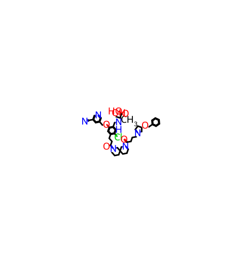 CC(CO)(NCc1cc(Cl)c(CCC(=O)N2CCCC3(CCCN(C(=O)CCCN4CCC(OCc5ccccc5)C4)C3)C2)cc1OCc1cncc(C#N)c1)C(=O)O